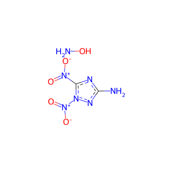 NO.Nc1nc([N+](=O)[O-])n([N+](=O)[O-])n1